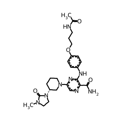 CC(=O)NCCCOc1ccc(Nc2nc(N3CCC[C@@H](N4CCN(C)C4=O)C3)cnc2C(N)=O)cc1